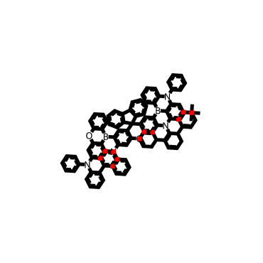 CC(C)(C)c1cc2c3c(c1)N(c1ccccc1)c1ccccc1B3c1cc3c(cc1N2C1=C(C2C=CC=CC2)C=CCC1C1=CCCC=C1)Oc1cc2c(cc1C31c3ccccc3-c3ccccc31)B1c3ccccc3Oc3cc(N(c4ccccc4)c4ccccc4-c4ccccc4)cc(c31)N2c1ccccc1